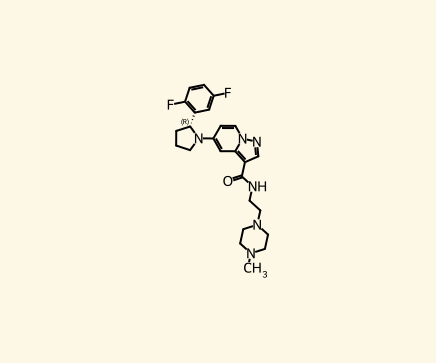 CN1CCN(CCNC(=O)c2cnn3ccc(N4CCC[C@@H]4c4cc(F)ccc4F)cc23)CC1